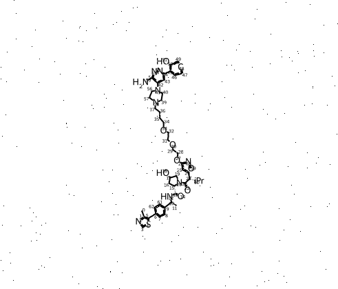 Cc1ncsc1-c1ccc([C@H](C)NC(=O)[C@@H]2C[C@@H](O)CN2C(=O)[C@H](c2cc(OCCOCCOCCCCN3CCN(c4cc(-c5ccccc5O)nnc4N)CC3)no2)C(C)C)cc1